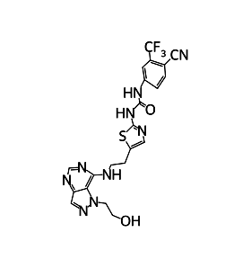 N#Cc1ccc(NC(=O)Nc2ncc(CCNc3ncnc4cnn(CCO)c34)s2)cc1C(F)(F)F